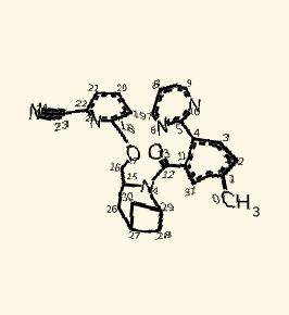 Cc1ccc(-c2ncccn2)c(C(=O)N2C(COc3cccc(C#N)n3)CC3CC2C3)c1